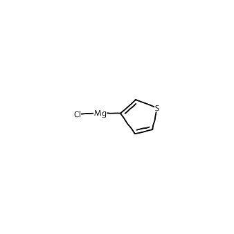 [Cl][Mg][c]1ccsc1